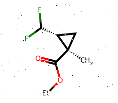 CCOC(=O)[C@]1(C)C[C@H]1C(F)F